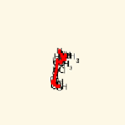 CC(NC(=O)c1cccc(NC2(c3nnc(-c4ccncc4)[nH]3)CCN(C)CC2)c1)c1cccc(OCCCCCCOCCOCCOCCC(=O)Nc2cccc3c2CN(C2CCC(=O)NC2=O)C3=O)c1.Cl